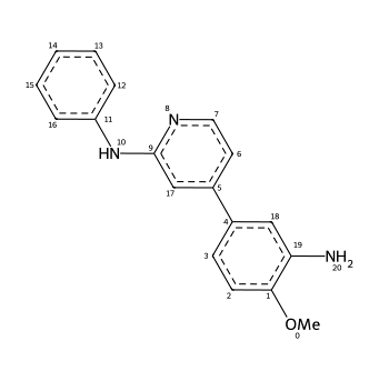 COc1ccc(-c2ccnc(Nc3ccccc3)c2)cc1N